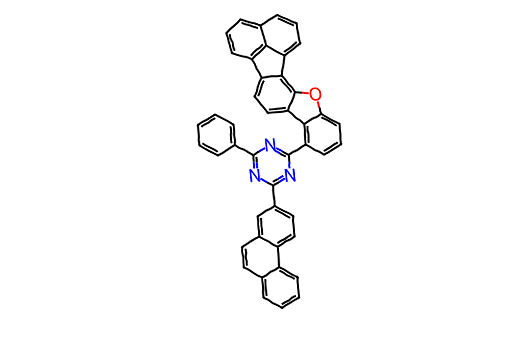 c1ccc(-c2nc(-c3ccc4c(ccc5ccccc54)c3)nc(-c3cccc4oc5c6c(ccc5c34)-c3cccc4cccc-6c34)n2)cc1